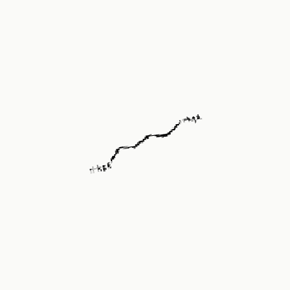 [CH2]CCCCCCC[CH]CCCCCCCCC